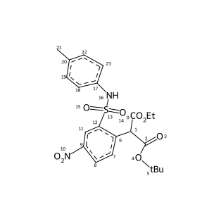 CCOC(=O)C(C(=O)OC(C)(C)C)c1ccc([N+](=O)[O-])cc1S(=O)(=O)Nc1ccc(C)cc1